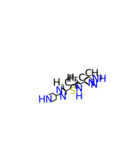 CC1=C(C)C2NC=NN2C=C1c1[nH]c2sc(-c3cnc(C4CCNCC4)nc3)c(C)c2c1C(C)C